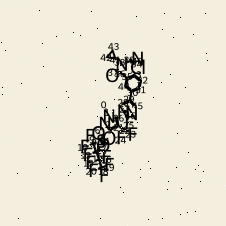 Cn1nc(OS(=O)(=O)C(F)(F)C(F)(F)C(F)(F)C(F)(F)F)c(C(F)(F)F)c1-n1cc(-c2ccc(Cl)c(C(=O)N(C#N)C3CC3)c2)cn1